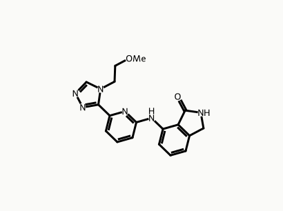 COCCn1cnnc1-c1cccc(Nc2cccc3c2C(=O)NC3)n1